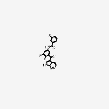 O=C(Nc1cc(F)c(F)c(C(=O)C2=CNC3N=NC=CC23)c1)c1cccc(F)c1